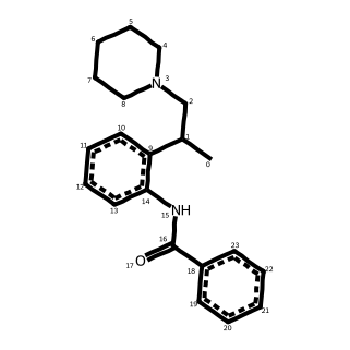 CC(CN1CCCCC1)c1ccccc1NC(=O)c1ccccc1